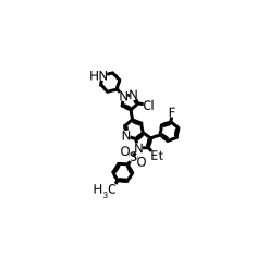 CCc1c(-c2cccc(F)c2)c2cc(-c3cn(C4CCNCC4)nc3Cl)cnc2n1S(=O)(=O)c1ccc(C)cc1